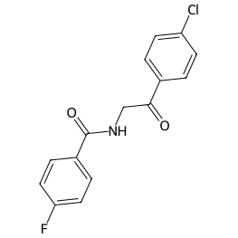 O=C(CNC(=O)c1ccc(F)cc1)c1ccc(Cl)cc1